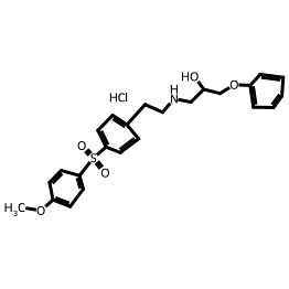 COc1ccc(S(=O)(=O)c2ccc(CCNCC(O)COc3ccccc3)cc2)cc1.Cl